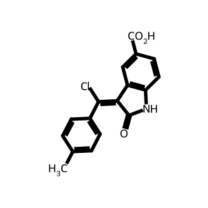 Cc1ccc(C(Cl)=C2C(=O)Nc3ccc(C(=O)O)cc32)cc1